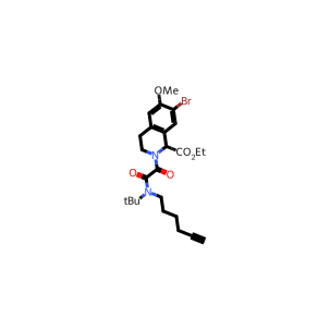 C#CCCCCN(C(=O)C(=O)N1CCc2cc(OC)c(Br)cc2C1C(=O)OCC)C(C)(C)C